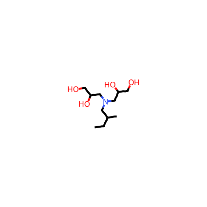 CCC(C)CN(CC(O)CO)CC(O)CO